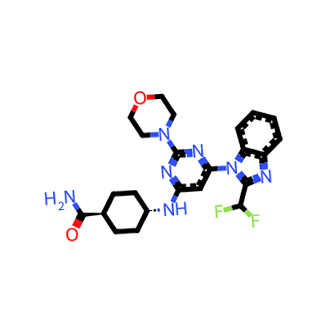 NC(=O)[C@H]1CC[C@H](Nc2cc(-n3c(C(F)F)nc4ccccc43)nc(N3CCOCC3)n2)CC1